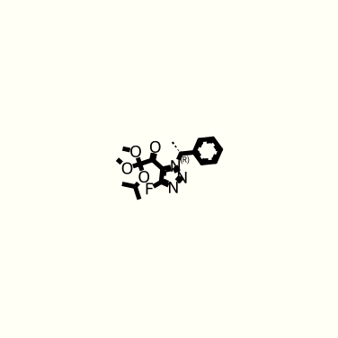 COC(OC)(OC(C)C)C(=O)c1c(F)nnn1[C@H](C)c1ccccc1